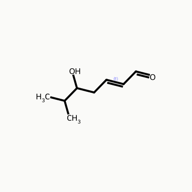 CC(C)C(O)C/C=C/C=O